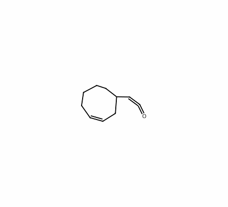 O=C=CC1CC=CCCCC1